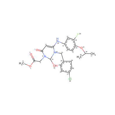 COC(=O)CN1C(=O)C=C(Nc2ccc(OC(C)C)c(F)c2)N(Cc2ccc(Cl)cc2)C1O